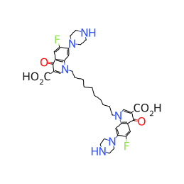 O=C(O)c1cn(CCCCCCCCCCn2cc(C(=O)O)c(=O)c3cc(F)c(N4CCNCC4)cc32)c2cc(N3CCNCC3)c(F)cc2c1=O